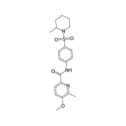 COc1ccc(C(=O)Nc2ccc(S(=O)(=O)N3CCCCC3C)cc2)nc1C